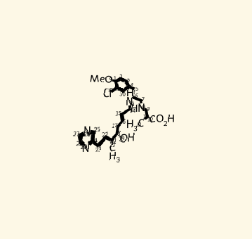 COc1ccc(C[C@H](CNC[C@@H](C)C(=O)O)NC/C=C/C[C@H](O)[C@H](C)/C=C/c2cnccn2)cc1Cl